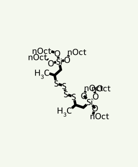 CCCCCCCCO[Si](CC(C)SSSSC(C)C[Si](OCCCCCCCC)(OCCCCCCCC)OCCCCCCCC)(OCCCCCCCC)OCCCCCCCC